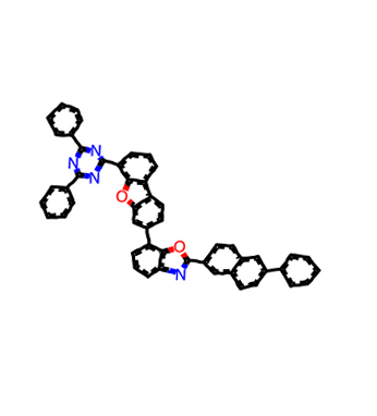 c1ccc(-c2ccc3cc(-c4nc5cccc(-c6ccc7c(c6)oc6c(-c8nc(-c9ccccc9)nc(-c9ccccc9)n8)cccc67)c5o4)ccc3c2)cc1